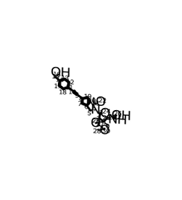 C[C@@](CCN1Cc2cc(C#Cc3ccc(CO)cc3)cn2C1=O)(C(=O)NO)S(C)(=O)=O